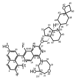 CCc1c(F)ccc2cc(O)cc(-c3ncc4c(N5CCOC[C@@](C)(O)C5)nc(OC[C@]56CCC[C@H]5N(C5CCC7(CCO7)CC5)CCC6)nc4c3F)c12